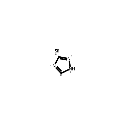 [Si].c1nc[nH]n1